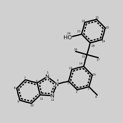 Cc1cc(-n2nc3ccccc3n2)cc(C(C)(C)c2ccccc2O)c1